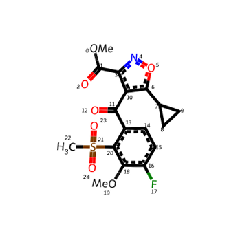 COC(=O)c1noc(C2CC2)c1C(=O)c1ccc(F)c(OC)c1S(C)(=O)=O